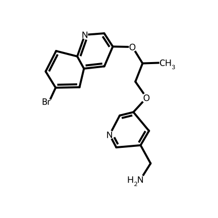 CC(COc1cncc(CN)c1)Oc1cnc2ccc(Br)cc2c1